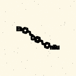 CCCCC1CCC(CCc2ccc(OCCCC3CCC(CC)CC3)cc2)CC1